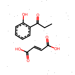 CCC(=O)c1ccccc1O.O=C(O)/C=C/C(=O)O